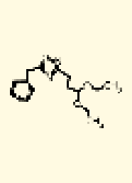 CCOC(CCc1noc(Cc2ccccc2)n1)OCC